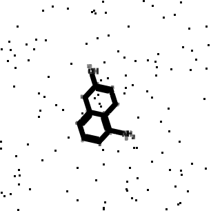 Nc1cccc2c1CC=C(O)[CH]2